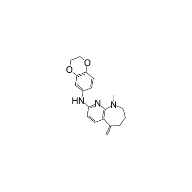 C=C1CCCN(C)c2nc(Nc3ccc4c(c3)OCCO4)ccc21